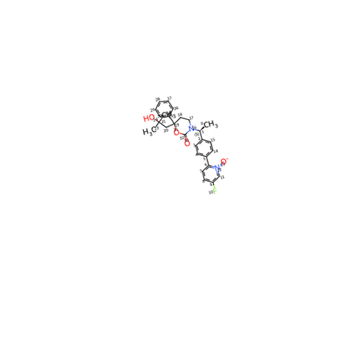 C[C@@H](c1ccc(-c2ccc(F)c[n+]2[O-])cc1)N1CCC(CC(C)(C)O)(c2ccccc2)OC1=O